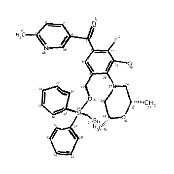 Cc1ccc(C(=O)c2cc(CO[Si](c3ccccc3)(c3ccccc3)C(C)(C)C)c(N3C[C@@H](C)O[C@@H](C)C3)c(Cl)c2F)cn1